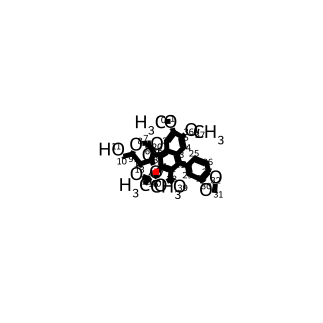 COc1cc2c(OC34OC(CO)C5OC(C)(C)OC5C3O4)c3c(c(-c4ccc5c(c4)OCO5)c2cc1OC)C(=O)OC3